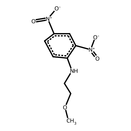 COCCNc1ccc([N+](=O)[O-])cc1[N+](=O)[O-]